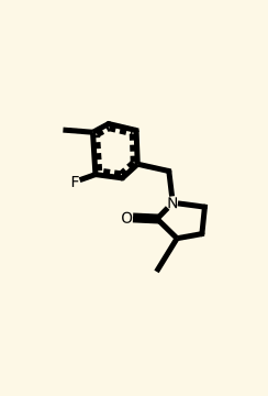 Cc1ccc(CN2CCC(C)C2=O)cc1F